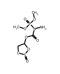 COP(=O)(OC)N(N)C(=O)OC1COS(=O)O1